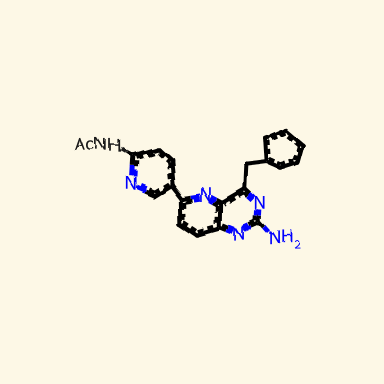 CC(=O)Nc1ccc(-c2ccc3nc(N)nc(Cc4ccccc4)c3n2)cn1